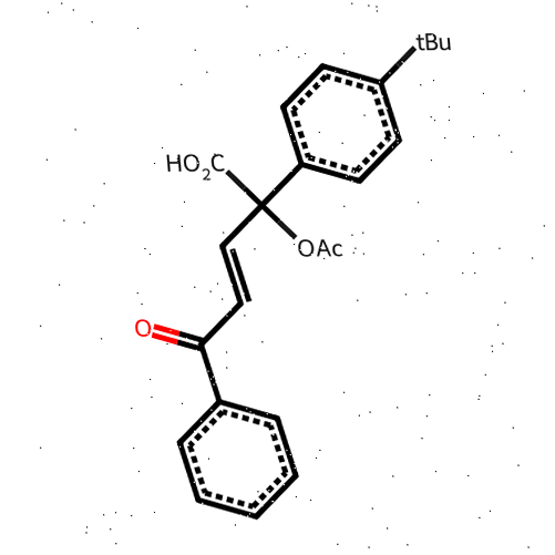 CC(=O)OC(/C=C/C(=O)c1ccccc1)(C(=O)O)c1ccc(C(C)(C)C)cc1